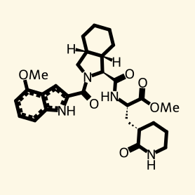 COC(=O)[C@H](C[C@@H]1CCCNC1=O)NC(=O)[C@@H]1[C@H]2CCCC[C@H]2CN1C(=O)c1cc2c(OC)cccc2[nH]1